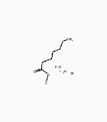 NCCCCCC(=O)OCl.O.[AlH3].[Zr]